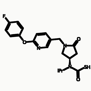 CC(C)N(C(=O)S)[C@@H]1CC(=O)N(Cc2ccc(Oc3ccc(F)cc3)nc2)C1